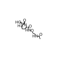 CC(=O)NCCONC(=O)[C@@H]1CC[C@@H]2CN1C(=O)N2O